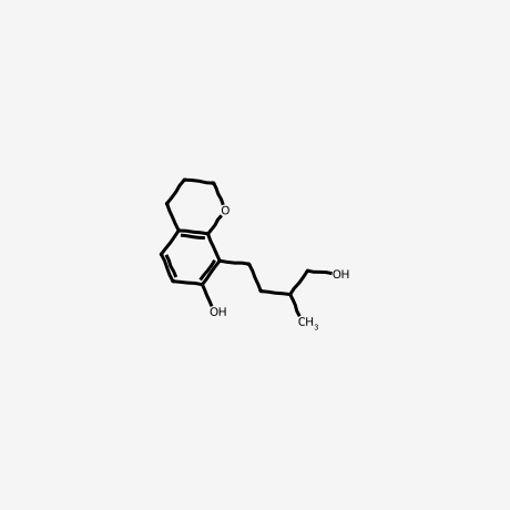 CC(CO)CCc1c(O)ccc2c1OCCC2